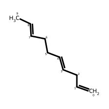 C=CC/C=C/CC/C=C/C